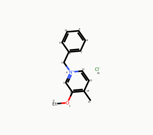 CCOc1c[n+](Cc2ccccc2)ccc1C.[Cl-]